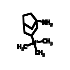 C[N+](C)(C)C1CC2CCC(N)(C2)C1